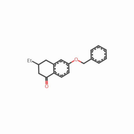 CCC1CC(=O)c2ccc(OCc3ccccc3)cc2C1